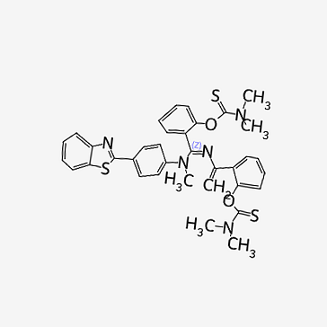 C=C(/N=C(/c1ccccc1OC(=S)N(C)C)N(C)c1ccc(-c2nc3ccccc3s2)cc1)c1ccccc1OC(=S)N(C)C